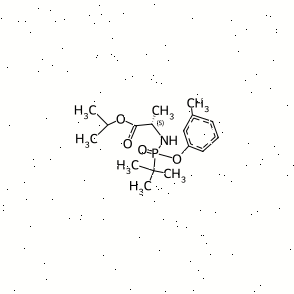 Cc1cccc(OP(=O)(N[C@@H](C)C(=O)OC(C)C)C(C)(C)C)c1